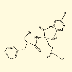 O=C(O)CCC(NC(=O)C(CS)Cc1ccccc1)(Nc1ccc(F)cc1)C(=O)O